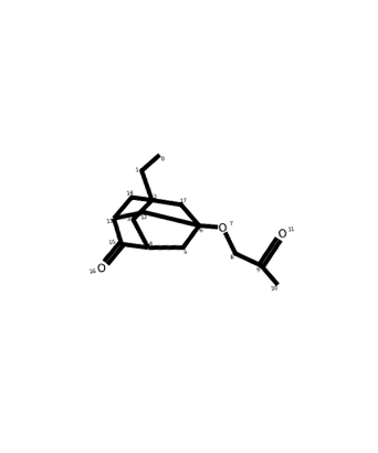 CCC12CC3CC(OCC(C)=O)(CC(C1)C3=O)C2